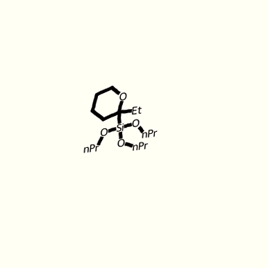 CCCO[Si](OCCC)(OCCC)C1(CC)CCCCO1